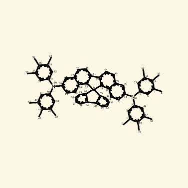 Cc1cc(N(c2cc(C)c(C)c(C)c2)c2ccc3c4c(ccc3c2)-c2ccc3cc(N(c5cc(C)c(C)c(C)c5)c5cc(C)c(C)c(C)c5)ccc3c2C42c3ccccc3-c3ccccc32)cc(C)c1C